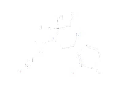 CC1NCCN(C)C1(C)C.[Br-].[Na+].[Na+].[O-]Cl.[O-][n+]1ccccc1